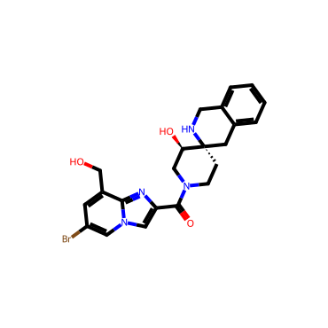 O=C(c1cn2cc(Br)cc(CO)c2n1)N1CC[C@]2(Cc3ccccc3CN2)[C@H](O)C1